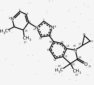 CC1N=CC=C(n2cnc(-c3ccc4c(c3)N(C3CC3)C(=O)C4(C)C)c2)C1C